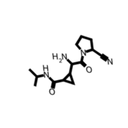 CC(C)NC(=O)C1CC1C(N)C(=O)N1CCCC1C#N